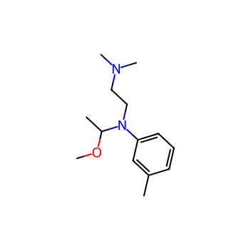 COC(C)N(CCN(C)C)c1cccc(C)c1